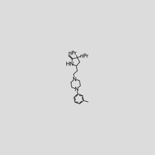 C=C1NC(CCN2CCN(c3cccc(C)c3)CC2)CC1(CCC)CCC